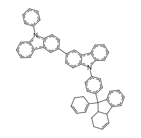 C1=CCCC(C2(c3ccc(-n4c5ccccc5c5cc(-c6ccc7c(c6)c6ccccc6n7-c6ccccc6)ccc54)cc3)c3ccccc3C3C=CCCC32)=C1